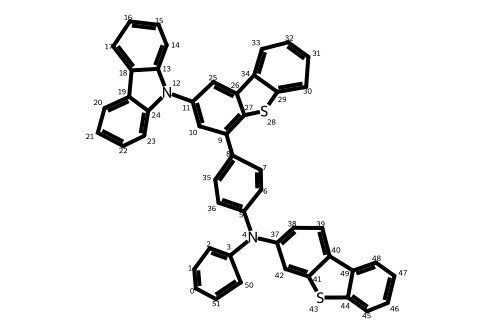 c1ccc(N(c2ccc(-c3cc(-n4c5ccccc5c5ccccc54)cc4c3sc3ccccc34)cc2)c2ccc3c(c2)sc2ccccc23)cc1